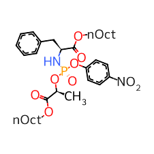 CCCCCCCCOC(=O)[C@H](Cc1ccccc1)NP(=O)(Oc1ccc([N+](=O)[O-])cc1)O[C@@H](C)C(=O)OCCCCCCCC